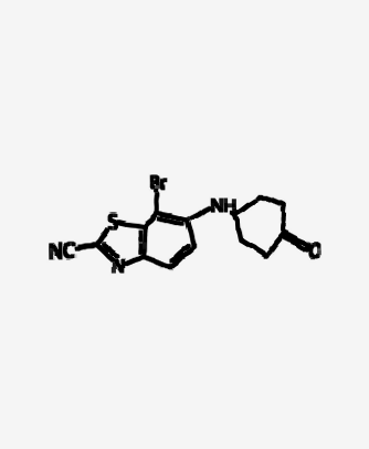 N#Cc1nc2ccc(NC3CCC(=O)CC3)c(Br)c2s1